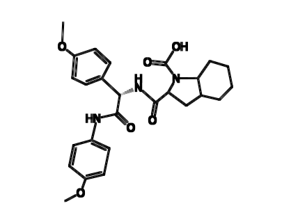 COc1ccc(NC(=O)[C@@H](NC(=O)C2CC3CCCCC3N2C(=O)O)c2ccc(OC)cc2)cc1